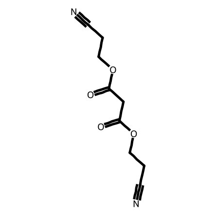 N#CCCOC(=O)CC(=O)OCCC#N